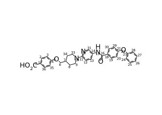 O=C(O)c1ccc(OCC2CCN(c3ccc(NC(=O)c4ccc(Oc5ccccc5)cc4)cn3)CC2)cc1